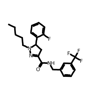 CCCCCN1N=C(C(=O)NCc2cccc(C(F)(F)F)c2)CC1c1ccccc1F